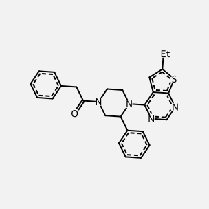 CCc1cc2c(N3CCN(C(=O)Cc4ccccc4)CC3c3ccccc3)ncnc2s1